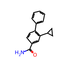 NC(=O)c1ccc(-c2ccccc2)c(C2CC2)c1